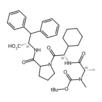 C[C@@H](C(=O)N[C@H](C(=O)N1CCCC1C(=O)N[C@H](C(=O)O)C(c1ccccc1)c1ccccc1)C1CCCCC1)N(C)C(=O)OC(C)(C)C